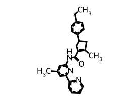 CCc1ccc(C2CC(C)=C(C(=O)Nc3cc(C)cc(-c4ccccn4)n3)C2)cc1